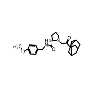 COc1ccc(CNC(=O)[C@@H]2CCCN2CC(=O)C23CC4CC(CC(C4)C2)C3)cc1